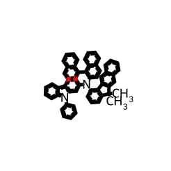 CC1(C)c2cc3ccccc3cc2-c2c(N(c3ccc4c5ccccc5n(-c5ccccc5)c4c3)c3ccc4ccccc4c3-c3cccc4ccccc34)cccc21